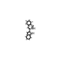 C1=C(c2cc3ccccc3[nH]2)NOc2cccnc21